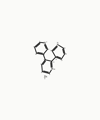 [Zn].c1cncc(-c2cccnc2-c2cccnc2)c1